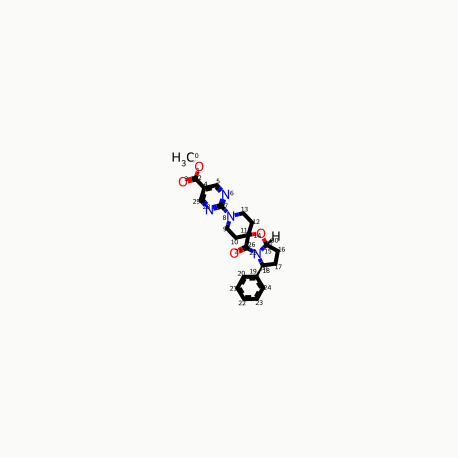 COC(=O)c1cnc(N2CCC3(CC2)O[C@@H]2CC[C@@H](c4ccccc4)N2C3=O)nc1